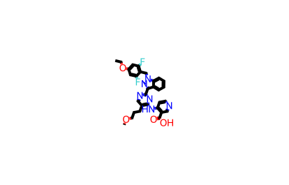 CCOc1cc(F)c(Cn2nc(-c3ncc(CCCOC)c(Nc4ccncc4C(=O)O)n3)c3ccccc32)c(F)c1